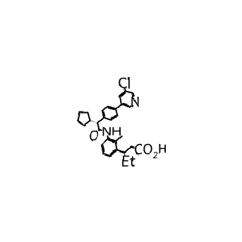 CC[C@@H](CC(=O)O)c1cccc(NC(=O)[C@@H](c2ccc(-c3cncc(Cl)c3)cc2)C2CCCC2)c1C